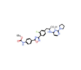 CC(C)(C)OC(=O)Nc1ccc(-c2nc(-c3ccc(CC(Nc4ccnc(N5CCCC5)n4)C(=O)O)cc3F)no2)cc1